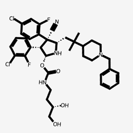 CC(C)(C[C@@H]1N[C@H](OC(=O)NCC[C@H](O)CO)[C@H](c2cccc(Cl)c2F)[C@@]1(C#N)c1ccc(Cl)cc1F)C1CCN(Cc2ccccc2)CC1